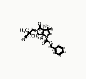 CC(C)(C#N)CN1C[C@H]2[C@@H](C1=O)C(F)(F)CN2C(=O)OCc1ccccc1